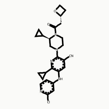 N#Cc1cc(Nc2ccnc(Cl)c2)c(C2CC2)nc1N1CCN(C(=O)C[C@H]2CCO2)[C@H](C2CC2)C1